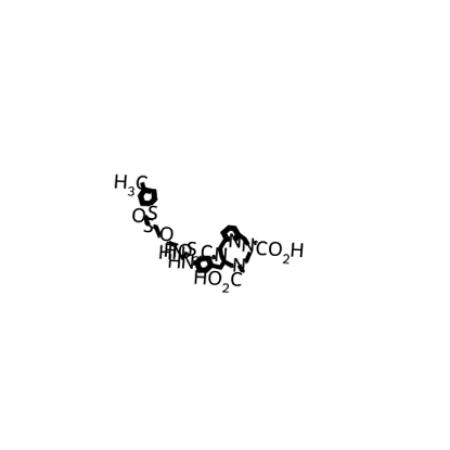 Cc1ccc(SC(=O)SCCOCCNC(=S)Nc2ccc(CC3CN(CC(=O)O)CCN(CC(=O)O)Cc4cccc(n4)CN3CC(=O)O)cc2)cc1